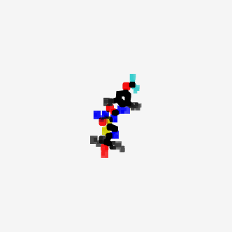 CCc1cc(OC(F)F)cc(C(C)C)c1NC(=O)N=[S@@](N)(=O)c1cnc(C(C)(C)O)s1